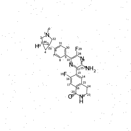 CN1C[C@@H]2C[C@]2(c2ccc(-c3nc(-c4cc5c(cc4F)C(=O)NCC5)c(N)nc3F)cc2)C1